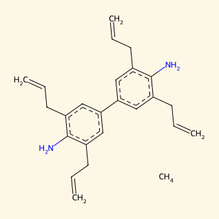 C.C=CCc1cc(-c2cc(CC=C)c(N)c(CC=C)c2)cc(CC=C)c1N